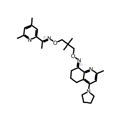 C/C(=N\OCC(C)(C)CO/N=C1\CCCc2c(N3CCCC3)cc(C)nc21)c1cc(C)cc(C)n1